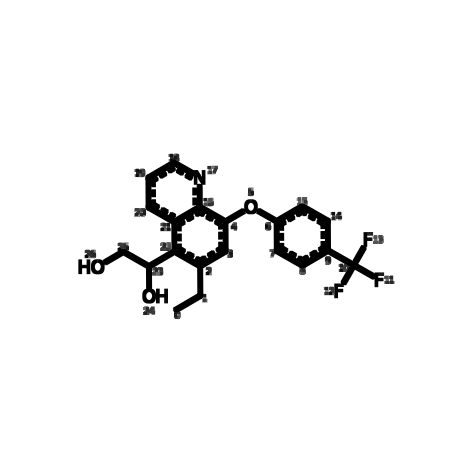 CCc1cc(Oc2ccc(C(F)(F)F)cc2)c2ncccc2c1C(O)CO